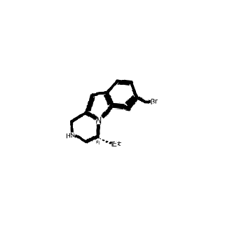 CC[C@@H]1CNCc2cc3ccc(Br)cc3n21